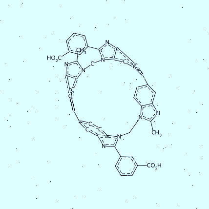 Cc1nc2cc3ccc2n1Cn1c(-c2cccc(C(=O)O)c2)nc2cc(ccc21)-c1ccc2c(c1)nc(C)n2Cn1c(-c2cccc(C(=O)O)c2)nc2cc-3ccc21